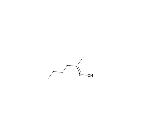 CCC[CH]C(C)=NO